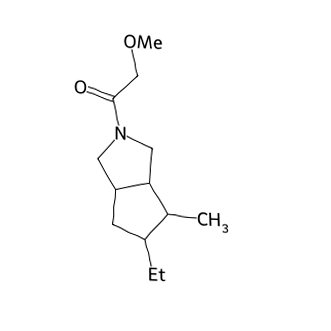 CCC1CC2CN(C(=O)COC)CC2C1C